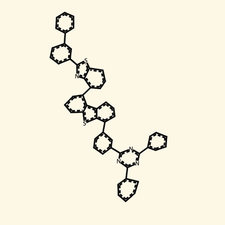 c1ccc(-c2cccc(-c3nc4c(-c5cccc6sc7c(-c8cccc(-c9nc(-c%10ccccc%10)nc(-c%10ccccc%10)n9)c8)cccc7c56)cccc4s3)c2)cc1